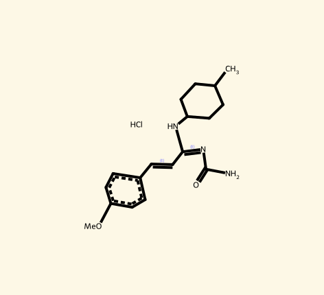 COc1ccc(/C=C/C(=N\C(N)=O)NC2CCC(C)CC2)cc1.Cl